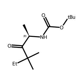 CCC(C)(C)C(=O)[C@@H](C)NC(=O)OC(C)(C)C